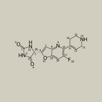 O=C1NC(=O)[C@@H](c2cc3nc(C4=CCNCC4)c(F)cc3o2)N1